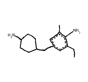 CCc1cc(CC2CCC(N)CC2)cc(C)c1N